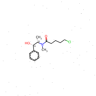 C[C@@H]([C@@H](O)c1ccccc1)N(C)C(=O)CCCCCl